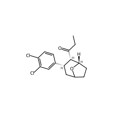 CCC(=O)[C@@H]1[C@@H]2CCC(C[C@@H]1c1ccc(Cl)c(Cl)c1)O2